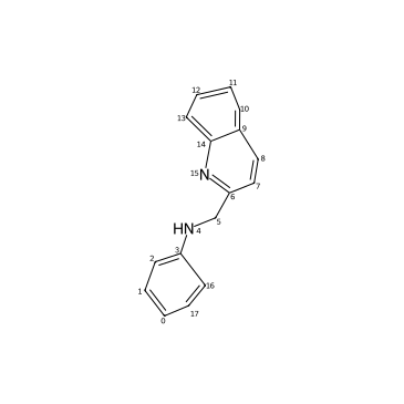 c1ccc(NCc2ccc3ccccc3n2)cc1